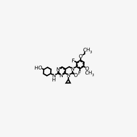 CCOc1cc(OC)c(F)c(N2Cc3cnc(NC4CCC(O)CC4)nc3N(C3CC3)C2=O)c1F